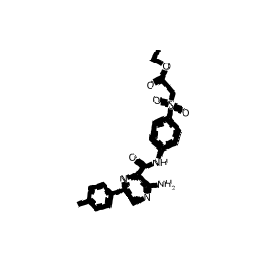 CCOC(=O)CS(=O)(=O)c1ccc(NC(=O)c2nc(-c3ccc(C)cc3)cnc2N)cc1